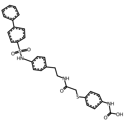 O=C(O)Nc1ccc(SCC(=O)NCCc2ccc(NS(=O)(=O)c3ccc(-c4ccccc4)cc3)cc2)cc1